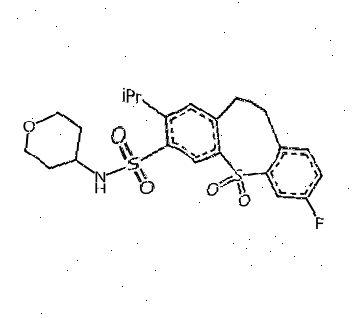 CC(C)c1cc2c(cc1S(=O)(=O)NC1CCOCC1)S(=O)(=O)c1cc(F)ccc1CC2